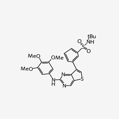 COc1cc(Nc2ncc3scc(-c4cccc(S(=O)(=O)NC(C)(C)C)c4)c3n2)cc(OC)c1OC